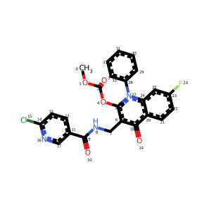 COC(=O)Oc1c(CNC(=O)c2ccc(Cl)nc2)c(=O)c2ccc(F)cc2n1-c1ccccc1